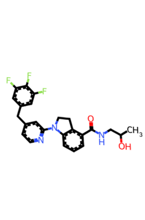 CC(O)CNC(=O)c1cccc2c1CCN2c1cc(Cc2cc(F)c(F)c(F)c2)ccn1